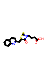 O=C(O)CCCN1C(=O)/C(=C/c2ccc3ccccc3n2)SC1=S